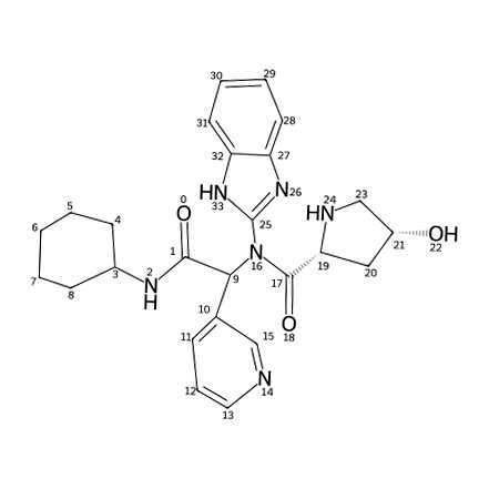 O=C(NC1CCCCC1)C(c1cccnc1)N(C(=O)[C@H]1C[C@@H](O)CN1)c1nc2ccccc2[nH]1